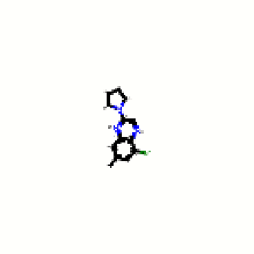 Cc1cc(Br)c2ncc(N3CCCC3)nc2c1